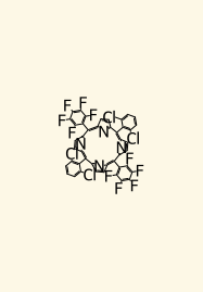 Fc1c(F)c(F)c(C2=C3C=CC(=N3)C(c3c(Cl)cccc3Cl)=C3C=CC(=N3)C(c3c(F)c(F)c(F)c(F)c3F)=C3C=CC(=N3)C(c3c(Cl)cccc3Cl)=C3C=CC2=N3)c(F)c1F